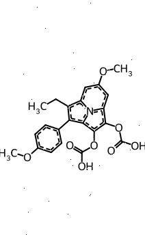 CCc1c(-c2ccc(OC)cc2)c2c(OC(=O)O)c(OC(=O)O)c3cc(OC)cc1n32